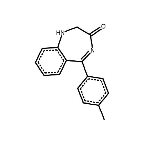 Cc1ccc(C2=NC(=O)CNc3ccccc32)cc1